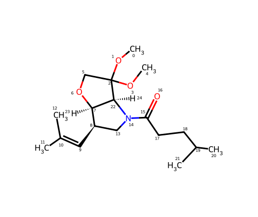 COC1(OC)CO[C@@H]2[C@H](C=C(C)C)CN(C(=O)CCC(C)C)[C@@H]21